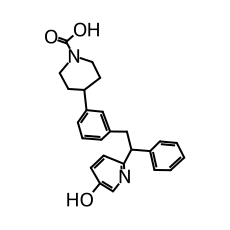 O=C(O)N1CCC(c2cccc(CC(c3ccccc3)c3ccc(O)cn3)c2)CC1